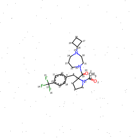 CC(=O)N1CCCC1(Cc1ccc(C(F)(F)F)cc1)C(=O)N1CCCN(C2CCC2)CC1